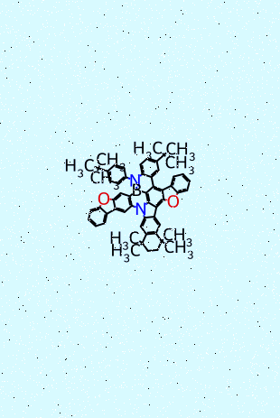 CC(C)(C)c1ccc(N2B3c4cc5oc6ccccc6c5cc4-n4c5cc6c(cc5c5c7oc8ccccc8c7c(c3c54)-c3cc(C(C)(C)C)ccc32)C(C)(C)CCC6(C)C)cc1